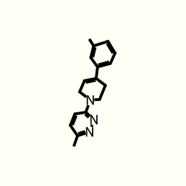 Cc1cccc(C2=CCN(c3ccc(C)nn3)CC2)c1